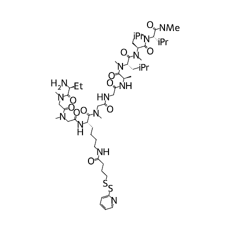 CC[C@H](N)C(=O)N(C)CC(=O)N(C)CC(=O)N[C@@H](CCCCNC(=O)CCCSSc1ccccn1)C(=O)N(C)CC(=O)NCC(=O)N[C@H](C)C(=O)N(C)[C@@H](CC(C)C)C(=O)N(C)[C@@H](CC(C)C)C(=O)N(C)[C@H](C(=O)NC)C(C)C